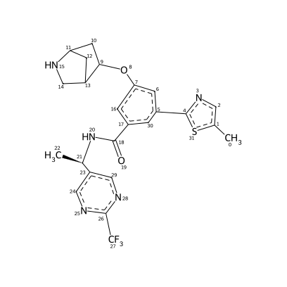 Cc1cnc(-c2cc(OC3CC4CC3CN4)cc(C(=O)N[C@H](C)c3cnc(C(F)(F)F)nc3)c2)s1